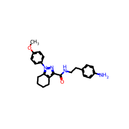 COc1ccc(-n2nc(C(=O)NCCc3ccc(N)cc3)c3c2CCCC3)cc1